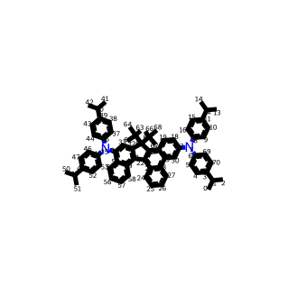 CC(C)c1ccc(N(c2ccc(C(C)C)cc2)c2ccc3c4c(c5ccccc5c3c2)-c2c(cc(N(c3ccc(C(C)C)cc3)c3ccc(C(C)C)cc3)c3ccccc23)C4(C(C)(C)C)C(C)(C)C)cc1